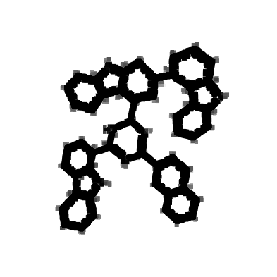 c1ccc2cc(C3=NC(c4cc(-c5cccc6sc7ccccc7c56)cc5oc6ccccc6c45)NC(c4cccc5c4sc4ccccc45)=N3)ccc2c1